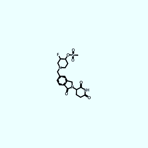 CS(=O)(=O)OC1CCN(Cc2ccc3c(c2)CN(C2CCC(=O)NC2=O)C3=O)CC1F